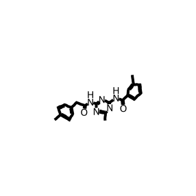 Cc1ccc(CC(=O)Nc2nc(C)nc(NC(=O)c3cccc(C)c3)n2)cc1